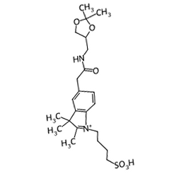 CC1=[N+](CCCCS(=O)(=O)O)c2ccc(CC(=O)NCC3COC(C)(C)O3)cc2C1(C)C